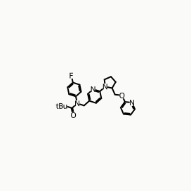 CC(C)(C)C(=O)N(Cc1ccc(N2CCCC2COc2ccccn2)nc1)c1ccc(F)cc1